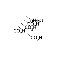 CC(=O)O.CC(=O)O.CC(=O)O.CC(=O)O.[CH2]CCCCCCC